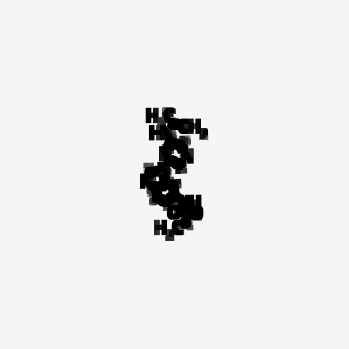 C=CS(=O)(=O)Nc1ccc2ncn(-c3cncc(NC(=C)C)n3)c2c1